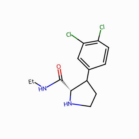 CCNC(=O)[C@H]1NCCC1c1ccc(Cl)c(Cl)c1